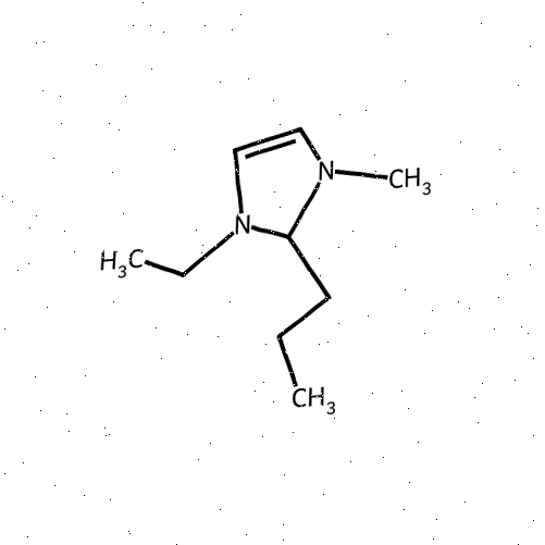 CCCC1N(C)C=CN1CC